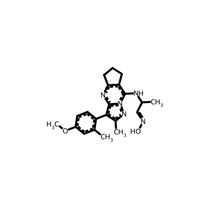 COc1ccc(-c2c(C)nn3c(NC(C)/C=N/O)c4c(nc23)CCC4)c(C)c1